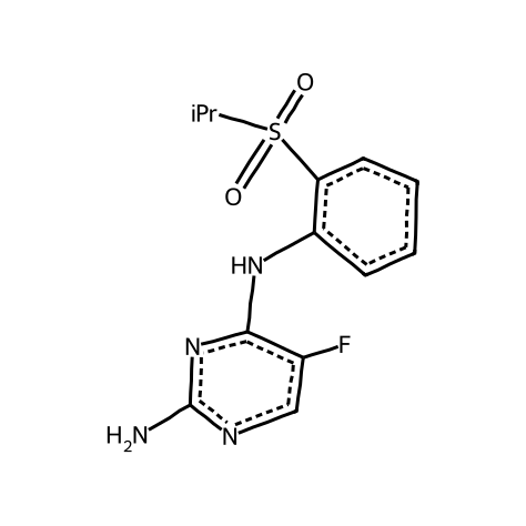 CC(C)S(=O)(=O)c1ccccc1Nc1nc(N)ncc1F